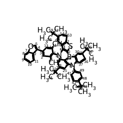 Cc1cc(-c2coc3ccccc23)cc(C)c1N1c2cc(C(C)(C)C)cc3c2B(c2cc(C(C)(C)C)ccc2N3c2ccc(C(C)(C)C)cc2)c2sc3ccc(C(C)(C)C)cc3c21